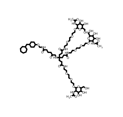 CC(=O)NC1C(OCCOCCOCCNC(=O)CCC(CCC(=O)NCCOCCOCCOC2OC(CO)C(O)C(O)C2NC(C)=O)(CCC(=O)NCCOCCOCCOC2OC(CO)C(O)C(O)C2NC(C)=O)NCC(=O)CCCC(=O)NCOC2CCC(CC3CCCCCC3)CC2)OC(CO)C(O)C1O